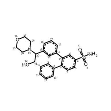 NS(=O)(=O)c1ccc(-c2ccccc2)c(-c2cccc(C(CO)N3CCOCC3)c2)c1